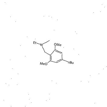 CCCCc1cc(OC)c(CN(C)CC)c(OC)c1